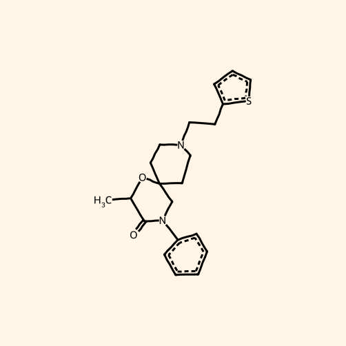 CC1OC2(CCN(CCc3cccs3)CC2)CN(c2ccccc2)C1=O